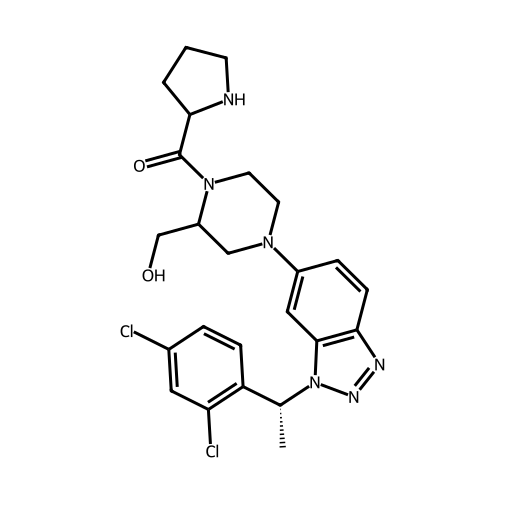 C[C@H](c1ccc(Cl)cc1Cl)n1nnc2ccc(N3CCN(C(=O)C4CCCN4)C(CO)C3)cc21